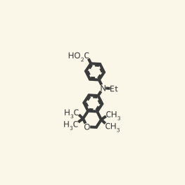 CCN(c1ccc(C(=O)O)cc1)c1ccc2c(c1)C(C)(C)COC2(C)C